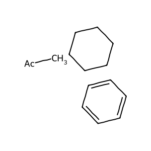 C1CCCCC1.CC(C)=O.c1ccccc1